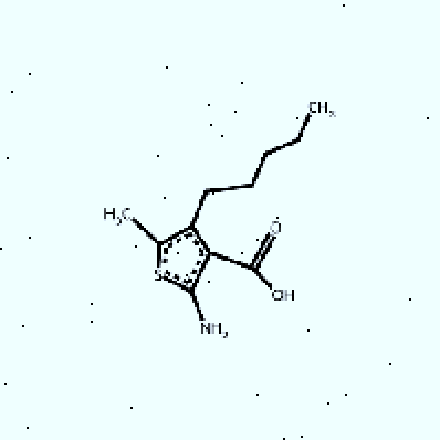 CCCCCc1c(C)sc(N)c1C(=O)O